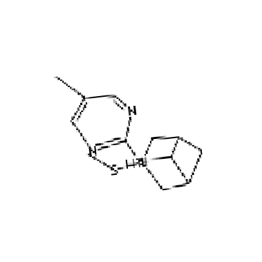 CSN1CC2CC(C1)C2Nc1ncc(C)cn1